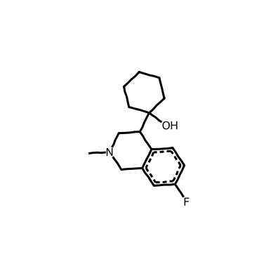 CN1Cc2cc(F)ccc2C(C2(O)CCCCC2)C1